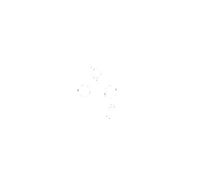 Cc1cc(N=CN(C)C(C)C)c(Cl)cc1Oc1nc(C2(c3ccc(Cl)cc3)CC2)ns1